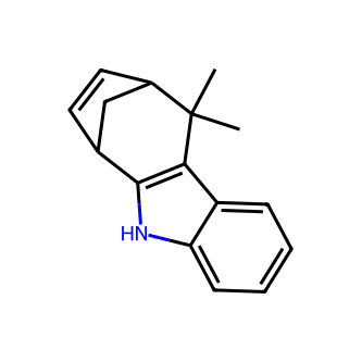 CC1(C)c2c([nH]c3ccccc23)C2C=CC1C2